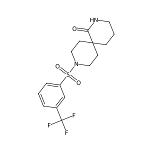 O=C1NCCCC12CCN(S(=O)(=O)c1cccc(C(F)(F)F)c1)CC2